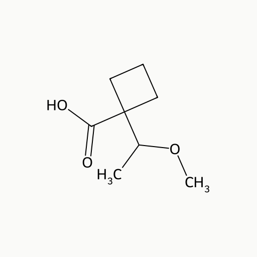 COC(C)C1(C(=O)O)CCC1